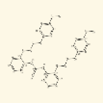 CCc1ccc(CCCCc2cccnc2OC(=O)Oc2ncccc2CCCCc2ccc(CC)cc2)cc1